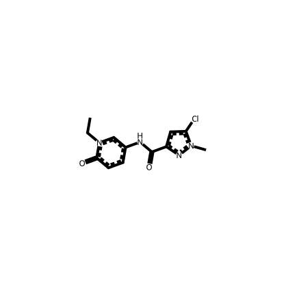 CCn1cc(NC(=O)c2cc(Cl)n(C)n2)ccc1=O